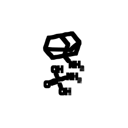 NC12CC3CC(CC(C3)C1)C2.NP(=O)(O)O